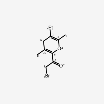 CCC1=C(C)OC(C(=O)CBr)=C(C)C1